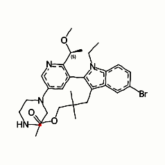 CCn1c(-c2cc(N3CCNCC3)cnc2[C@H](C)OC)c(CC(C)(C)COC(C)=O)c2cc(Br)ccc21